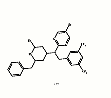 CCC1CC(N(Cc2cc(C(F)(F)F)cc(C(F)(F)F)c2)c2ncc(Br)cn2)CC(Cc2ccccc2)N1.Cl